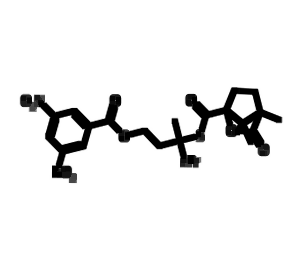 CCCC(C)(CCOC(=O)c1cc([N+](=O)[O-])cc([N+](=O)[O-])c1)SC(=O)C12CCC(C)(C(=O)O1)C2(C)C